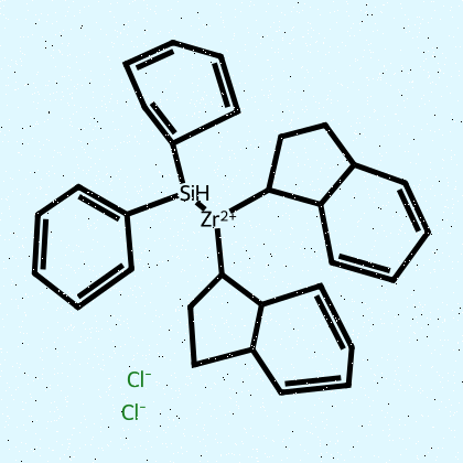 C1=CC2CC[CH]([Zr+2]([CH]3CCC4C=CC=CC43)[SiH](c3ccccc3)c3ccccc3)C2C=C1.[Cl-].[Cl-]